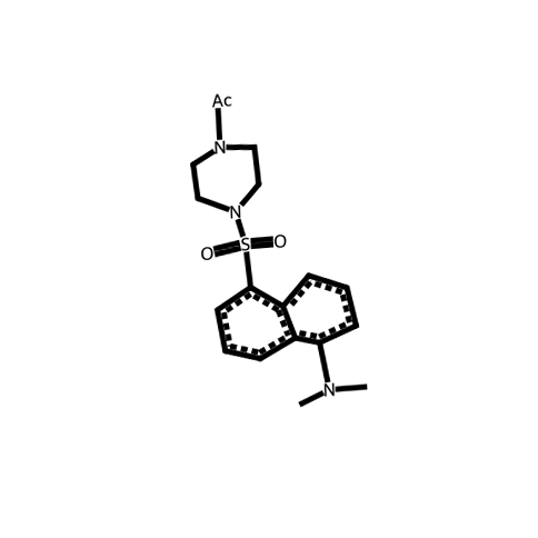 CC(=O)N1CCN(S(=O)(=O)c2cccc3c(N(C)C)cccc23)CC1